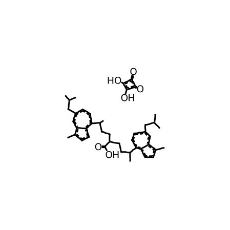 Cc1ccc2c(C(C)CCC(CCC(C)c3ccc(CC(C)C)cc4c(C)ccc3-4)C(=O)O)ccc(CC(C)C)cc1-2.O=c1c(O)c(O)c1=O